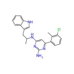 Cc1c(Cl)cccc1-c1cc(NC(C)Cc2c[nH]c3ccccc23)nc(N)n1